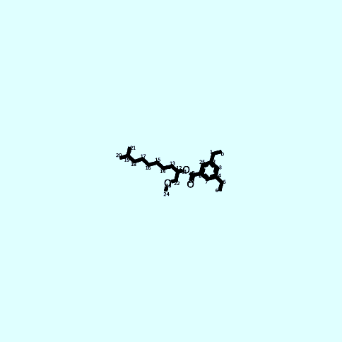 CCc1cc(CC)cc(C(=O)OC(CCCCCCC(C)C)COC)c1